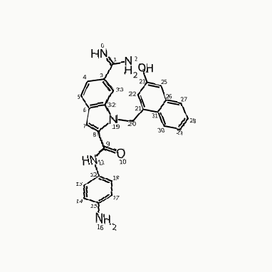 N=C(N)c1ccc2cc(C(=O)Nc3ccc(N)cc3)n(Cc3cc(O)cc4ccccc34)c2c1